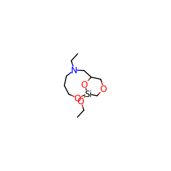 CCO[Si]12COCC(CN(CC)CCCO1)O2